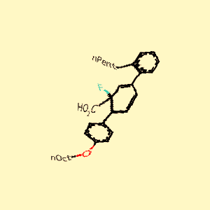 CCCCCCCCOc1ccc(C2C=CC(c3ccccc3CCCCC)=CC2(F)C(=O)O)cc1